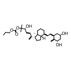 C=C(/C=C/[C@@H](O)C(C)(C)OC(=O)OCCC)[C@H]1CC[C@H]2/C(=C/C=C3/C[C@@H](O)C[C@H](O)C3=C)CCC[C@]12C